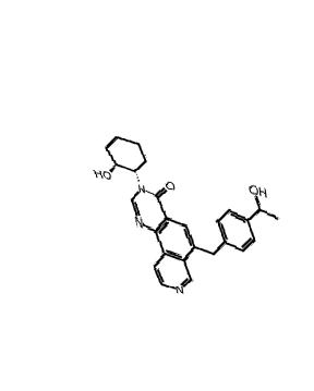 CC(O)c1ccc(Cc2cc3c(=O)n([C@H]4CCCC[C@@H]4O)cnc3c3ccncc23)cc1